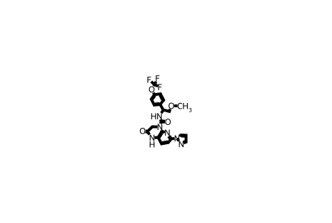 COCC(NC(=O)N1CC(=O)Nc2ccc(-n3cccn3)nc21)c1ccc(OC(F)(F)F)cc1